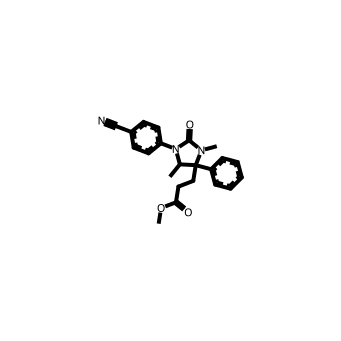 COC(=O)CCC1(c2ccccc2)C(C)N(c2ccc(C#N)cc2)C(=O)N1C